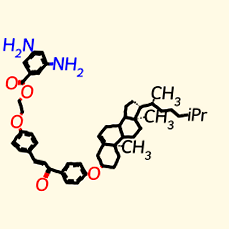 CC(C)CCC[C@@H](C)[C@H]1CCC2C3CC=C4CC(Oc5ccc(C(=O)C=Cc6ccc(OCCOC(=O)c7cc(N)cc(N)c7)cc6)cc5)CC[C@]4(C)C3CC[C@@]21C